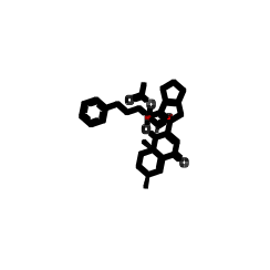 CC(=O)OCC(=O)[C@]12ON(CCCc3ccccc3)C3=C(CC4=C3CCC4)C1=CC(=O)C1=C[C@@H](C)CC[C@@]12C